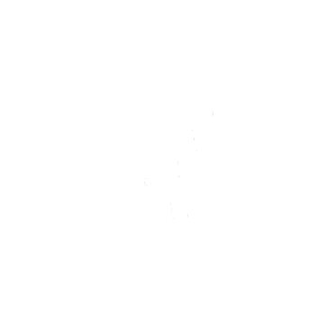 CCC(C(=O)O)[PH](=O)OCCCl